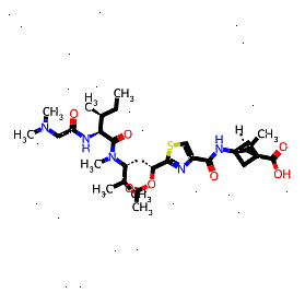 CC[C@H](C)[C@H](NC(=O)CN(C)C)C(=O)N(C)[C@H](C[C@@H](OC(C)=O)c1nc(C(=O)NC23CC(C(=O)O)(C2)[C@@H]3C)cs1)C(C)C